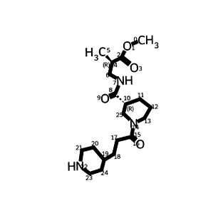 COC(=O)[C@H](C)CNC(=O)[C@@H]1CCCN(C(=O)CCC2CCNCC2)C1